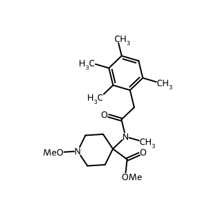 COC(=O)C1(N(C)C(=O)Cc2c(C)cc(C)c(C)c2C)CCN(OC)CC1